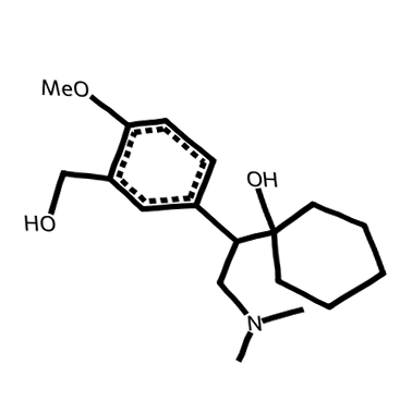 COc1ccc(C(CN(C)C)C2(O)CCCCC2)cc1CO